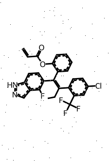 C=CC(=O)Oc1ccccc1/C(=C(/CC)c1ccc(Cl)cc1C(F)(F)F)c1ccc2[nH]ncc2c1F